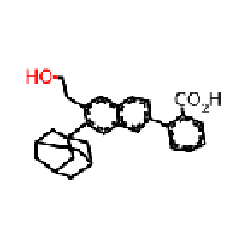 O=C(O)c1ccccc1-c1ccc2cc(CCO)c(C34CC5CC(CC(C5)C3)C4)cc2c1